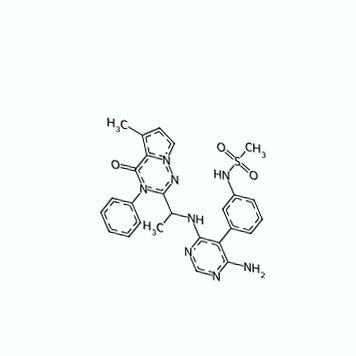 Cc1ccn2nc(C(C)Nc3ncnc(N)c3-c3cccc(NS(C)(=O)=O)c3)n(-c3ccccc3)c(=O)c12